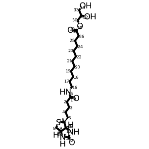 O=C(CCCC[C@@H]1SC[C@@H]2NC(=O)N[C@@H]21)NCCCCCCCCCCCC(=O)OCC(O)CO